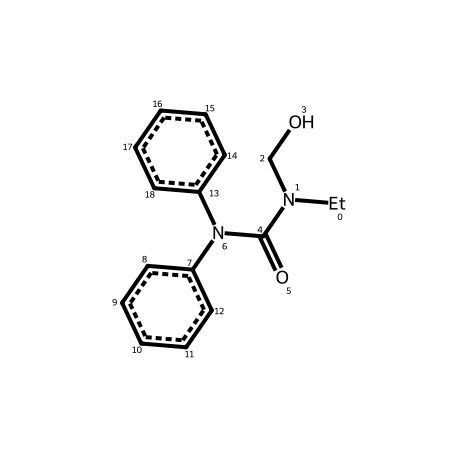 CCN(CO)C(=O)N(c1ccccc1)c1ccccc1